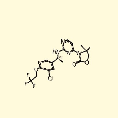 C[C@H](Nc1nccc(N2C(=O)OCC2(C)C)n1)c1cnc(OCC(F)(F)F)c(Cl)c1